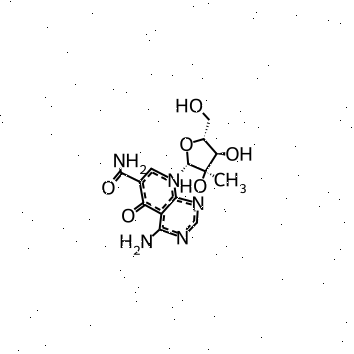 C[C@@]1(O)[C@H](O)[C@@H](CO)O[C@H]1n1cc(C(N)=O)c(=O)c2c(N)ncnc21